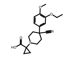 CCOc1cc(C2(C#N)CCN(C3(C(=O)O)CC3)CC2)ccc1OC